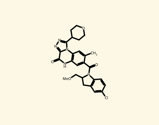 COCC1Cc2cc(Cl)ccc2N1C(=O)c1cc2[nH]c(=O)c3nnc(C4CCOCC4)n3c2cc1C